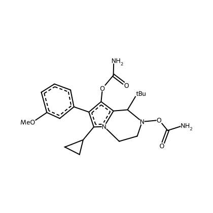 COc1cccc(-c2c(OC(N)=O)c3n(c2C2CC2)CCN(OC(N)=O)C3C(C)(C)C)c1